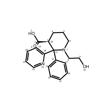 O=C(O)[C@H]1CCCN(CCO)C1(c1ccccc1)c1ccccn1